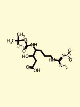 CC(C)(C)OC(=O)NC(CCCNC(N)=N[N+](=O)[O-])C(O)CC(=O)O